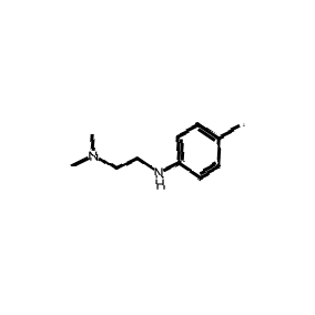 [CH2]c1ccc(NCCN(C)C)cc1